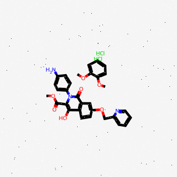 COC(=O)c1c(O)c2ccc(OCc3ccccn3)cc2c(=O)n1-c1ccc(N)cc1.COc1ccccc1OC.Cl.Cl